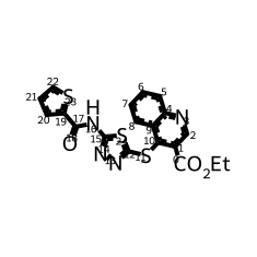 CCOC(=O)c1cnc2ccccc2c1Sc1nnc(NC(=O)c2cccs2)s1